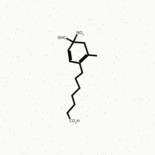 CC1=C(CCCCCCC(=O)O)C=CC(C=O)([N+](=O)[O-])C1